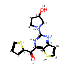 O=C(c1cccs1)c1nc(N2CCC(O)C2)nc2ccsc12